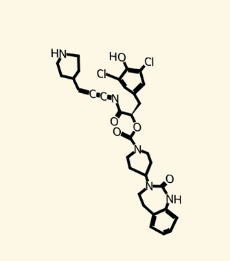 O=C(N=C=C=CC1CCNCC1)[C@@H](Cc1cc(Cl)c(O)c(Cl)c1)OC(=O)N1CCC(N2CCc3ccccc3NC2=O)CC1